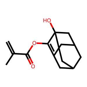 C=C(C)C(=O)OC1=C2CC3CC(C2)CC1(O)C3